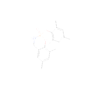 Cc1cc(C)c(OP2(=O)NCc3cc(C)cc(C)c3O2)c(C)c1